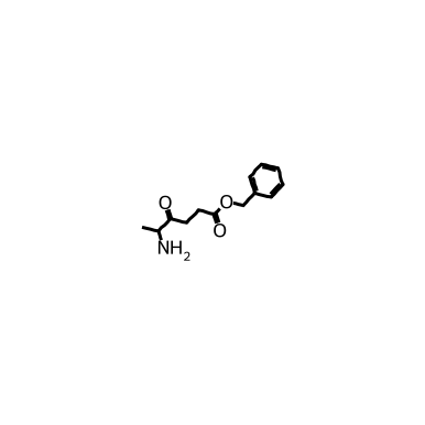 CC(N)C(=O)CCC(=O)OCc1ccccc1